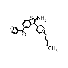 CCCCCN1CCC(c2c(N)sc3ccc(C(=O)c4ccoc4)cc23)CC1